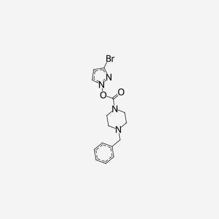 O=C(On1ccc(Br)n1)N1CCN(Cc2ccccc2)CC1